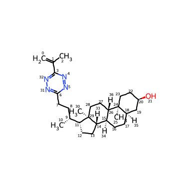 C=C(C)c1nnc(CC[C@@H](C)[C@H]2CC[C@H]3[C@@H]4CC[C@@H]5C[C@H](O)CC[C@]5(C)[C@H]4CC[C@]23C)nn1